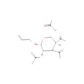 C=CCO[C@H]1O[C@H](C(O)C(C)=O)[C@](O)(C(C)=O)[C@@](O)(C(C)=O)[C@H]1NC(C)=O